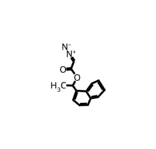 CC(OC(=O)C=[N+]=[N-])c1cccc2ccccc12